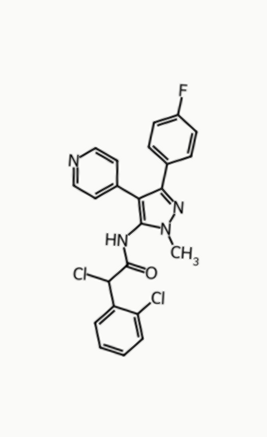 Cn1nc(-c2ccc(F)cc2)c(-c2ccncc2)c1NC(=O)C(Cl)c1ccccc1Cl